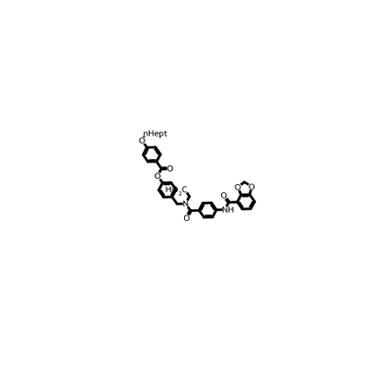 CCCCCCCOc1ccc(C(=O)Oc2ccc(CN(CC(=O)O)C(=O)c3ccc(NC(=O)c4cccc5c4OCO5)cc3)cc2)cc1